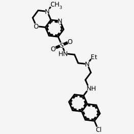 CCN(CCNc1cccc2cc(Cl)ccc12)CCNS(=O)(=O)c1cnc2c(c1)OCCN2C